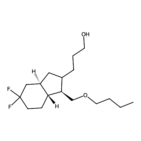 CCCCOC[C@@H]1C(CCCO)C[C@@H]2CC(F)(F)CC[C@H]21